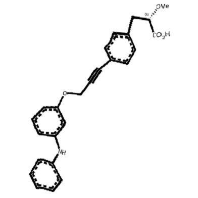 CO[C@@H](Cc1ccc(C#CCOc2cccc(Nc3ccccc3)c2)cc1)C(=O)O